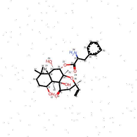 C=C[C@@]1(C)CC(=O)[C@]2(O)[C@@]3(C)[C@@H](O)CCC(C)(C)[C@@H]3[C@H](O)[C@H](OC(=O)C(N)Cc3ccccc3)[C@@]2(C)O1